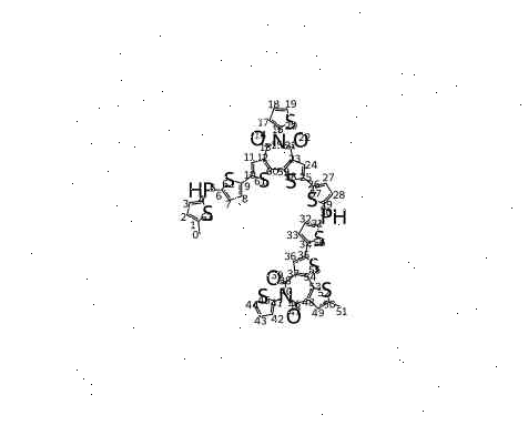 Cc1ccc(Pc2ccc(-c3cc4c(=O)n(-c5cccs5)c(=O)c5cc(-c6ccc(Pc7ccc(-c8cc9c(=O)n(-c%10cccs%10)c(=O)c%10cc(C)sc%10c9s8)s7)s6)sc5c4s3)s2)s1